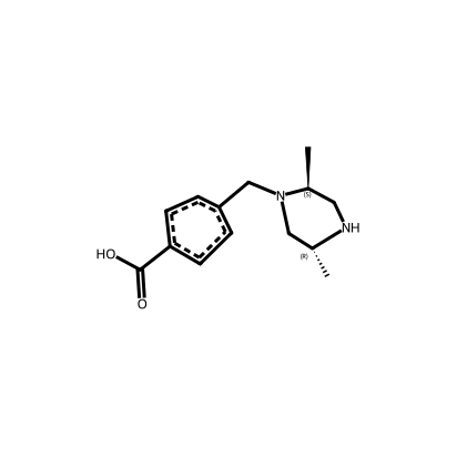 C[C@@H]1CN(Cc2ccc(C(=O)O)cc2)[C@@H](C)CN1